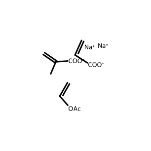 C=C(C)C(=O)[O-].C=CC(=O)[O-].C=COC(C)=O.[Na+].[Na+]